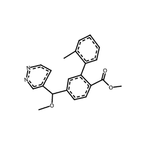 COC(=O)c1ccc(C(OC)c2ccnnc2)cc1-c1ccccc1C